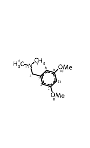 COc1cc(CN(C)C)cc(OC)c1